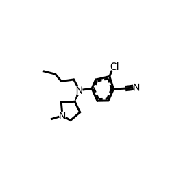 CCCCN(c1ccc(C#N)c(Cl)c1)[C@H]1CCN(C)C1